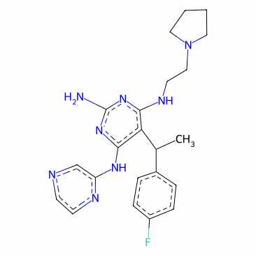 CC(c1ccc(F)cc1)c1c(NCCN2CCCC2)nc(N)nc1Nc1cnccn1